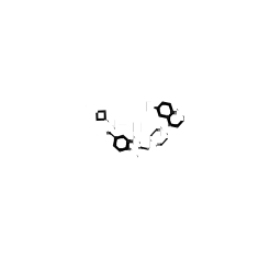 O=C(NC1CC(O)C1)c1ccc2nc(CN3CCN(c4ccnc5ccc(F)cc45)CC3)[nH]c2c1